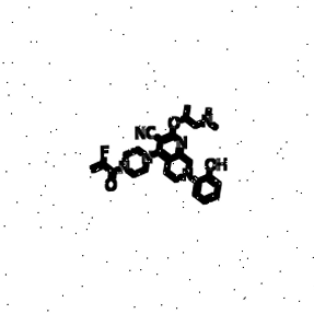 C=C(F)C(=O)N1CCN(c2c(C#N)c(OC(C)CN(C)C)nc3c2CCN(c2ccccc2O)C3)CC1